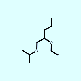 CCCC(COC(C)C)OCC